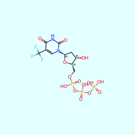 O=c1[nH]c(=O)n([C@H]2C[C@@H](O)[C@@H](COP(=O)(O)OP(=O)(O)OP(=O)(O)O)O2)cc1C(F)(F)F